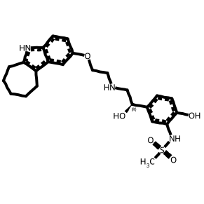 CS(=O)(=O)Nc1cc([C@@H](O)CNCCOc2ccc3[nH]c4c(c3c2)CCCCC4)ccc1O